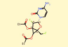 CCC(=O)OC1[C@@]2(CF)O[C@@H](n3ccc(N)nc3=O)[C@H](F)[C@@]12OC(=O)CC